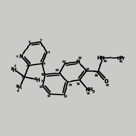 [2H]C([2H])([2H])c1ncccc1-c1cccc2c(N)c(C(=O)NCCC)ncc12